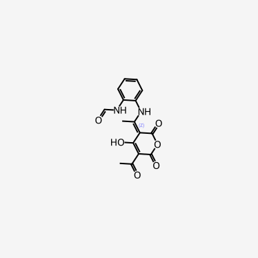 CC(=O)C1=C(O)/C(=C(\C)Nc2ccccc2NC=O)C(=O)OC1=O